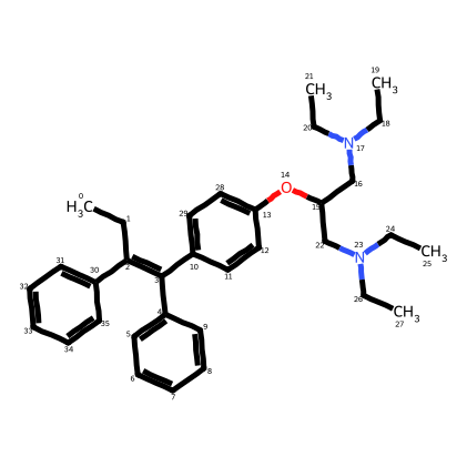 CCC(=C(c1ccccc1)c1ccc(OC(CN(CC)CC)CN(CC)CC)cc1)c1ccccc1